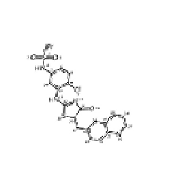 CC(C)S(=O)(=O)Nc1ccc(Cl)c(NC2=NC(=O)C(=Cc3ccc4ncccc4c3)S2)c1